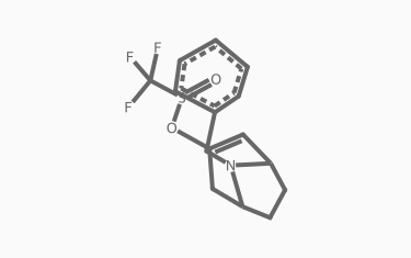 O=S(OC1=CC2CCC(C1)N2Cc1ccccc1)C(F)(F)F